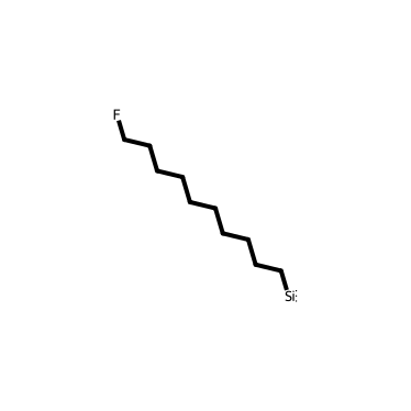 FCCCCCCCCCC[Si]